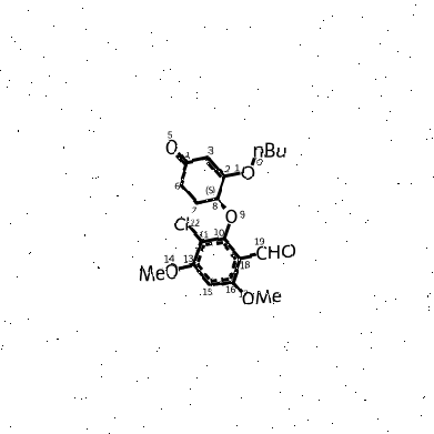 CCCCOC1=CC(=O)CC[C@@H]1Oc1c(Cl)c(OC)cc(OC)c1C=O